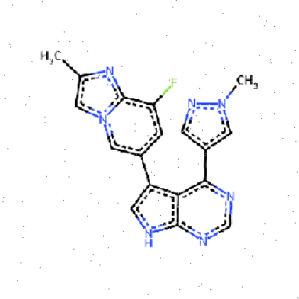 Cc1cn2cc(-c3c[nH]c4ncnc(-c5cnn(C)c5)c34)cc(F)c2n1